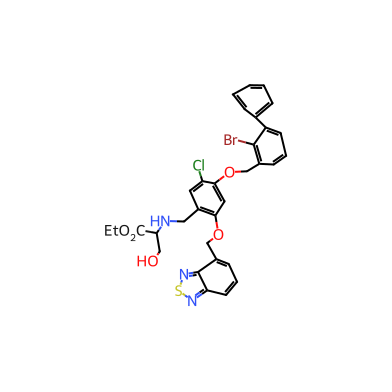 CCOC(=O)C(CO)NCc1cc(Cl)c(OCc2cccc(-c3ccccc3)c2Br)cc1OCc1cccc2nsnc12